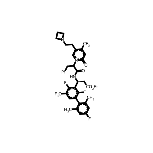 CCOC(=O)C[C@H](NC(=O)C(CC(C)C)n1cc(CCN2CCC2)c(C(F)(F)F)cc1=O)c1c(F)c(-c2c(C)cc(F)cc2C)cc(C(F)(F)F)c1F